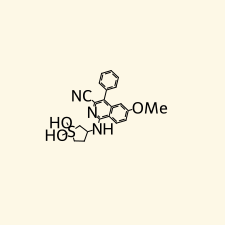 COc1ccc2c(NC3CCS(O)(O)C3)nc(C#N)c(-c3ccccc3)c2c1